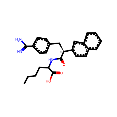 CCCCC(NC(=O)[C@@H](Cc1ccc(C(=N)N)cc1)c1ccc2ccccc2c1)C(=O)O